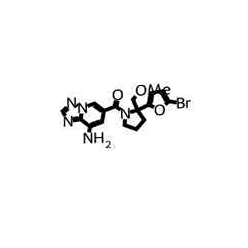 COCC1(c2ccc(Br)o2)CCCN1C(=O)c1cc(N)c2ncnn2c1